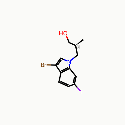 C[C@H](CO)Cn1cc(Br)c2ccc(I)cc21